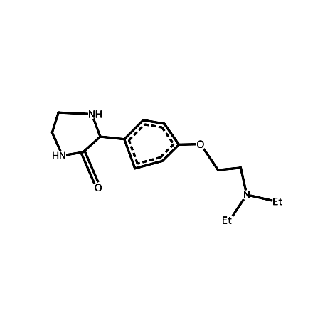 CCN(CC)CCOc1ccc(C2NCCNC2=O)cc1